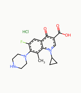 Cc1c(N2CCNCC2)c(F)cc2c(=O)c(C(=O)O)cn(C3CC3)c12.Cl